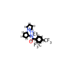 CCc1cc(C(F)(F)F)cc(C(F)(F)F)c1C(=O)NC1CCCC1N1CCCC1